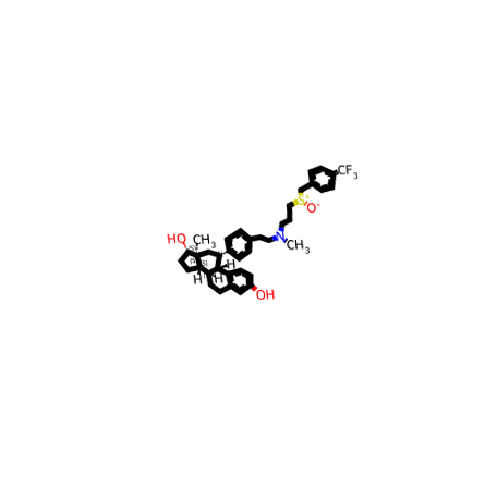 CN(CCC[S+]([O-])Cc1ccc(C(F)(F)F)cc1)CCc1ccc([C@H]2C[C@]3(C)[C@@H](O)CC[C@H]3[C@@H]3CCc4cc(O)ccc4[C@H]32)cc1